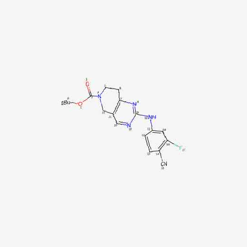 CC(C)(C)OC(=O)N1CCc2nc(Nc3ccc(C#N)c(F)c3)ncc2C1